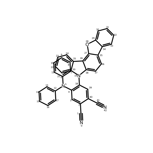 N#Cc1cc(N(c2ccccc2)c2ccccc2)c(-n2c3ccccc3c3c4oc5ccccc5c4ccc32)cc1C#N